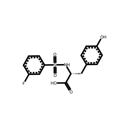 O=C(O)[C@@H](Cc1ccc(O)cc1)NS(=O)(=O)c1cccc(F)c1